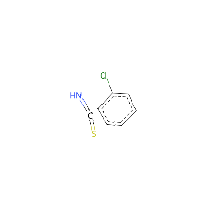 Clc1ccccc1.N=C=S